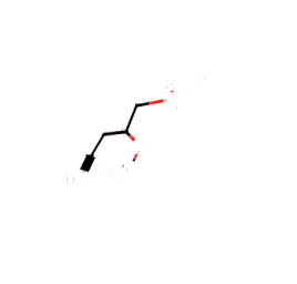 C#CCC(COC(=O)O)OC(=O)O